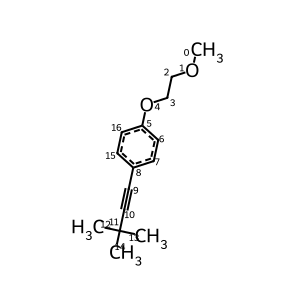 COCCOc1ccc(C#CC(C)(C)C)cc1